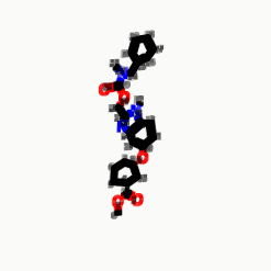 COC(=O)[C@H]1CCC[C@H](Oc2ccc3c(c2)nc(COC(=O)N(C)Cc2ccccc2)n3C)C1